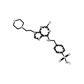 NS(=O)(=O)c1ccc(CNc2nc(Cl)nc3c2ncn3CCN2CCOCC2)cc1